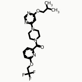 CC(C)COc1cc(N2CCN(C(=O)c3cccc(OCC(F)(F)F)n3)CC2)ncn1